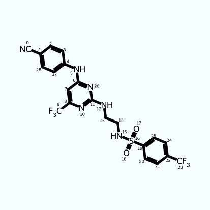 N#Cc1ccc(Nc2cc(C(F)(F)F)nc(NCCNS(=O)(=O)c3ccc(C(F)(F)F)cc3)n2)cc1